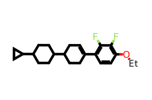 CCOc1ccc(C2=CCC(C3CCC(C4CC4)CC3)CC2)c(F)c1F